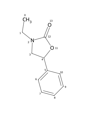 CCN1CC(c2ccccc2)OC1=O